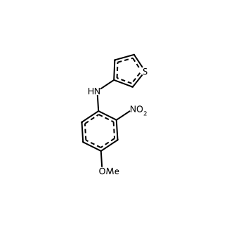 COc1ccc(Nc2ccsc2)c([N+](=O)[O-])c1